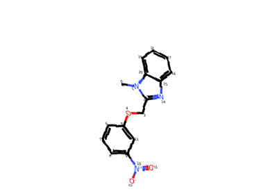 Cn1c(COc2cccc([N+](=O)[O-])c2)nc2ccccc21